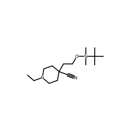 CCN1CCC(C#N)(CCO[Si](C)(C)C(C)(C)C)CC1